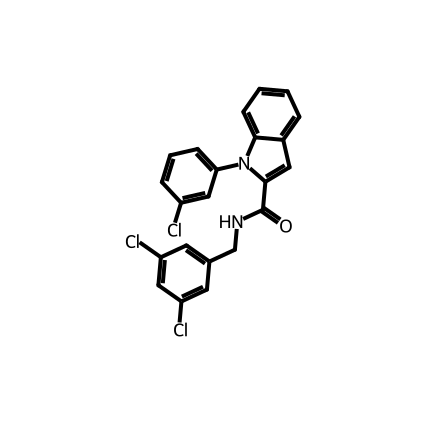 O=C(NCc1cc(Cl)cc(Cl)c1)c1cc2ccccc2n1-c1cccc(Cl)c1